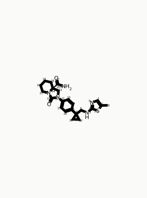 Cc1cnc(NCC2(c3ccc(N4C[C@@]5(C(N)=O)[CH]CCCN5C4=O)cc3)CC2)s1